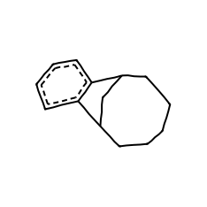 c1ccc2c(c1)C1CCCCCC2C1